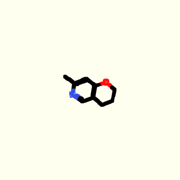 Cc1cc2c(cn1)CCCO2